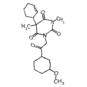 COC1CCCC(C(=O)CN2C(=O)N(C)C(=O)C(C)(C3C=CCCC3)C2=O)C1